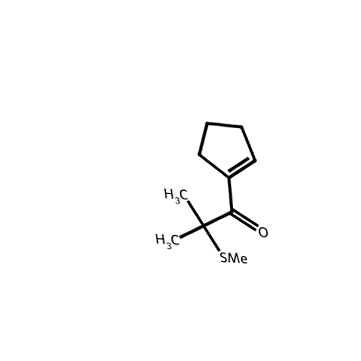 CSC(C)(C)C(=O)C1=CCCC1